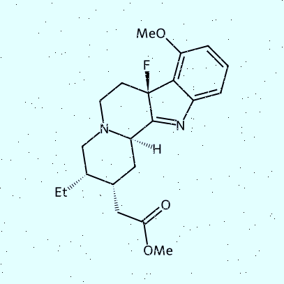 CC[C@@H]1CN2CC[C@@]3(F)C(=Nc4cccc(OC)c43)[C@H]2C[C@@H]1CC(=O)OC